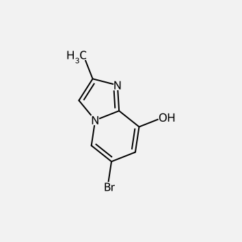 Cc1cn2cc(Br)cc(O)c2n1